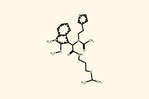 CSc1c(C(C(=O)NCCCOC(C)C)N(CCc2ccsc2)C(C)=O)c2ccccc2n1C